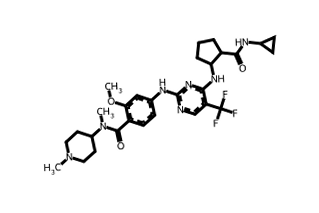 COc1cc(Nc2ncc(C(F)(F)F)c(NC3CCCC3C(=O)NC3CC3)n2)ccc1C(=O)N(C)C1CCN(C)CC1